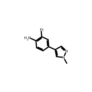 CCc1cc(-c2cnn(C)c2)ccc1N